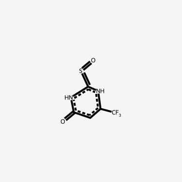 O=S=c1[nH]c(C(F)(F)F)cc(=O)[nH]1